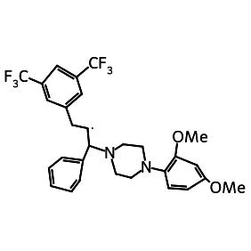 COc1ccc(N2CCN(C([CH]Cc3cc(C(F)(F)F)cc(C(F)(F)F)c3)c3ccccc3)CC2)c(OC)c1